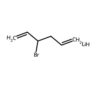 C=CCC(Br)C=C.[LiH]